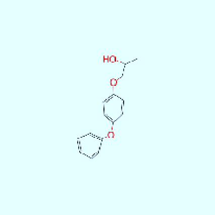 CC(O)COc1ccc(Oc2ccccc2)cc1